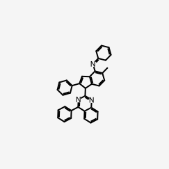 Cc1ccc2c(c1/N=C1/C=CC=CC1)C=C(c1ccccc1)C2c1nc(-c2ccccc2)c2ccccc2n1